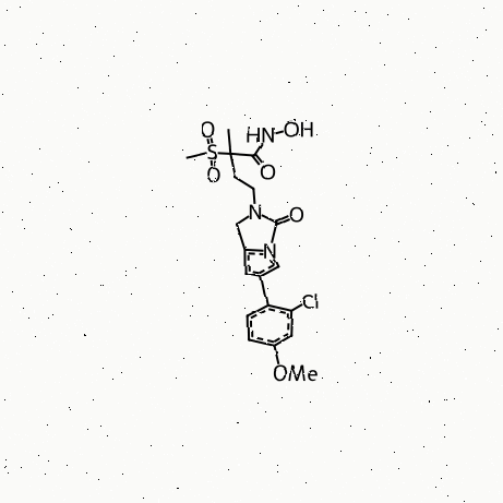 COc1ccc(-c2cc3n(c2)C(=O)N(CCC(C)(C(=O)NO)S(C)(=O)=O)C3)c(Cl)c1